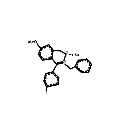 CCCC[C@H]1Cc2cc(OC)ccc2C(c2ccc(I)cc2)=[N+]1Cc1ccccc1